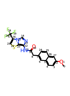 COc1ccc2cc(CC(=O)Nc3ncn4c(C(F)(F)F)csc34)ccc2c1